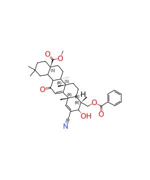 COC(=O)[C@]12CCC(C)(C)CC1C1C(=O)C=C3[C@@]4(C)C=C(C#N)C(O)[C@@](C)(COC(=O)c5ccccc5)[C@@H]4CC[C@@]3(C)[C@]1(C)CC2